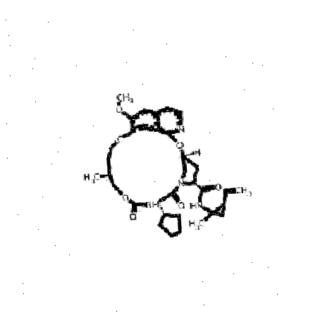 C=CC1CC1(C)NC(=O)[C@@H]1C[C@@H]2CN1C(=O)[C@H](C1CCCC1)NC(=O)OC[C@@H](C)CCCc1cc3c(nccc3cc1OC)O2